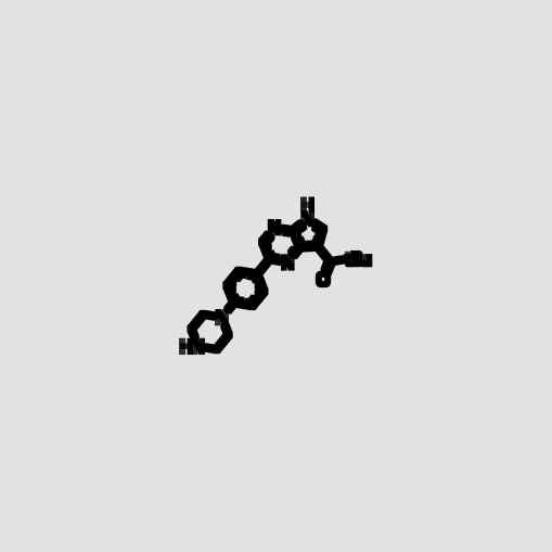 CC(C)(C)C(=O)c1c[nH]c2ncc(-c3ccc(N4CCNCC4)cc3)nc12